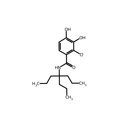 CCCC(CCC)(CCC)NC(=O)c1ccc(O)c(O)c1Cl